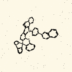 c1ccc2c(c1)Sc1c(ccc3c4ccc5ccccc5c4n(-c4ccc(-c5ccc6ccccc6c5)cc4)c13)C21c2ccccc2-c2ccccc21